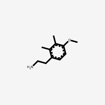 COc1ccc(CCN)c(C)c1C